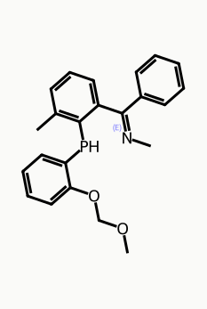 C/N=C(\c1ccccc1)c1cccc(C)c1Pc1ccccc1OCOC